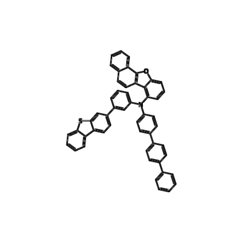 c1ccc(-c2ccc(-c3ccc(N(c4cccc(-c5ccc6c(c5)sc5ccccc56)c4)c4cccc5oc6c7ccccc7ccc6c45)cc3)cc2)cc1